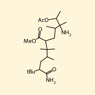 COC(=O)C(CC(C)C(C)(N)C(C)OC(C)=O)C(C)(C)C(C)CC(C(N)=O)C(C)(C)C